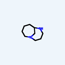 C1CCN2CCCNC(C1)C2